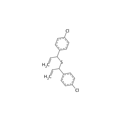 C=CC(SC(C=C)c1ccc(Cl)cc1)c1ccc(Cl)cc1